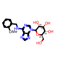 COc1ccccc1CNc1ncn(C2O[C@H](CO)[C@@H](O)[C@H](O)[C@H]2O)c2ncnc1-2